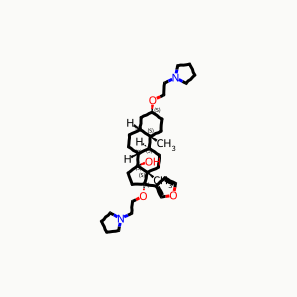 C[C@]12CC[C@H](OCCN3CCCC3)C[C@H]1CC[C@@H]1[C@@H]2CC[C@]2(C)[C@@](OCCN3CCCC3)(c3ccoc3)CC[C@]12O